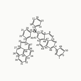 c1ccc(-c2cc3ccc4cc(N(c5ccccc5)c5cccc(-c6cc7ccc8cccc9ccc(c6)c7c89)c5)cc5ccc(c2)c3c45)cc1